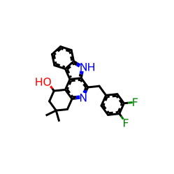 CC1(C)Cc2nc(Cc3ccc(F)c(F)c3)c3[nH]c4ccccc4c3c2C(O)C1